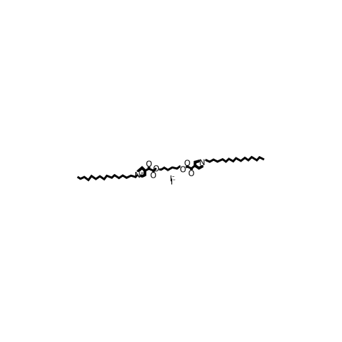 CCCCCCCCCCCCCCCC[n+]1ccc(C(=O)C(=O)OCCCCCCOC(=O)C(=O)c2cc[n+](CCCCCCCCCCCCCCCC)cc2)cc1.[I-].[I-]